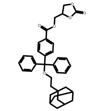 O=C1OCC(COC(=O)c2ccc(C(OCCC34CC5CC(CC(C5)C3)C4)(c3ccccc3)c3ccccc3)cc2)O1